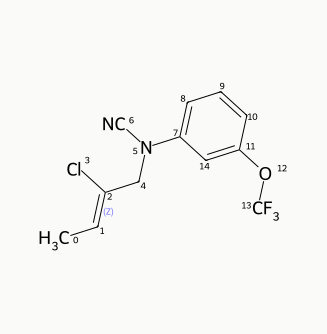 C/C=C(\Cl)CN(C#N)c1cccc(OC(F)(F)F)c1